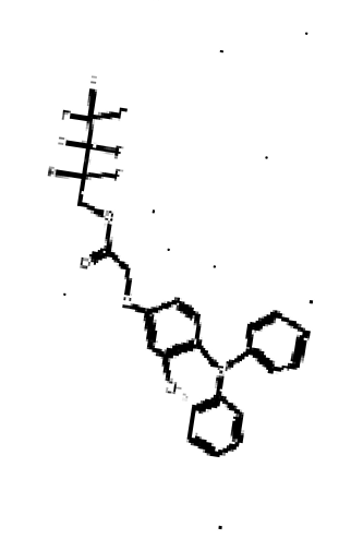 Cc1cc(OCC(=O)OCC(F)(F)C(F)(F)C(F)(F)F)ccc1[S+](c1ccccc1)c1ccccc1